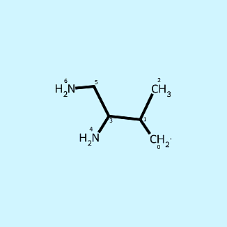 [CH2]C(C)C(N)CN